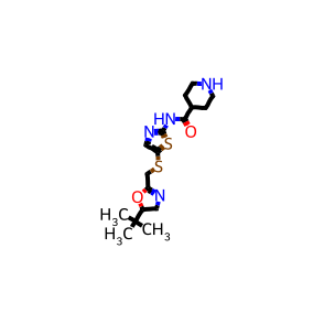 CC(C)(C)C1CN=C(CSc2cnc(NC(=O)C3CCNCC3)s2)O1